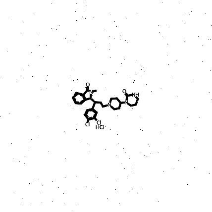 CN1C(=O)c2ccccc2C1C(CCN1CCC(N2CCCNC2=O)CC1)c1ccc(Cl)c(Cl)c1.Cl